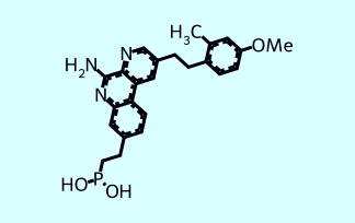 COc1ccc(CCc2cnc3c(N)nc4cc(CCP(O)O)ccc4c3c2)c(C)c1